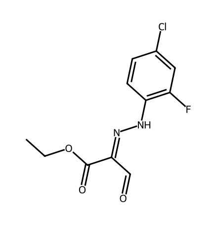 CCOC(=O)/C(C=O)=N/Nc1ccc(Cl)cc1F